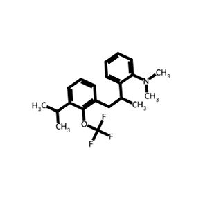 CC(C)c1cccc(CC(C)c2ccccc2N(C)C)c1OC(F)(F)F